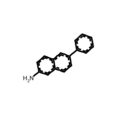 Nc1ccc2cc(-c3ccccc3)ccc2c1